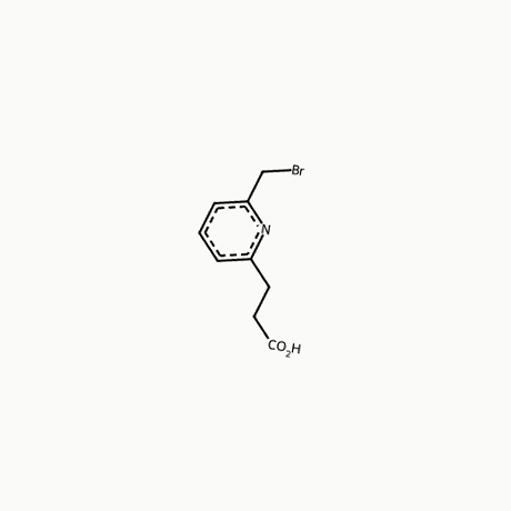 O=C(O)CCc1cccc(CBr)n1